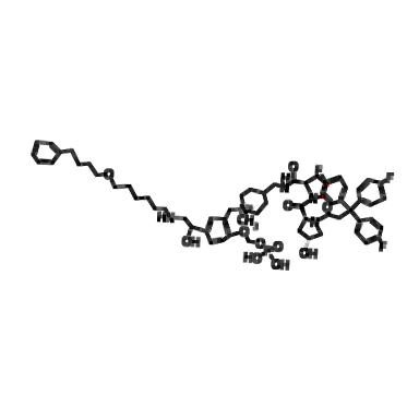 C[N+]1(Cc2cc(C(O)CNCCCCCCOCCCCc3ccccc3)ccc2OCOP(=O)(O)O)CCC(CNC(=O)[C@H]2CCCN2C(=O)[C@@H]2C[C@@H](O)CN2C(=O)CC(c2ccc(F)cc2)(c2ccc(F)cc2)c2ccc(F)cc2)CC1